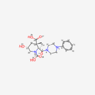 C[C@]1(C(=O)N2CCN(c3ccccc3)CC2)N(C(=O)O)C[C@H](O)C[C@]1(C)C(=O)O